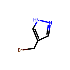 BrCc1cn[nH]c1